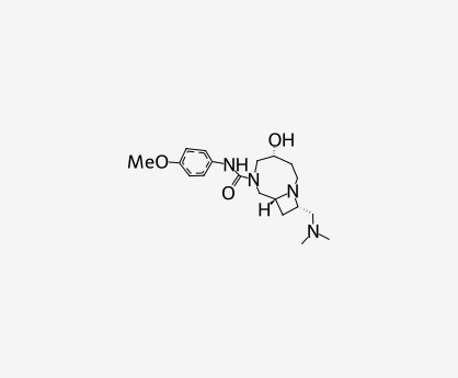 COc1ccc(NC(=O)N2C[C@H](O)CCN3[C@H](C[C@H]3CN(C)C)C2)cc1